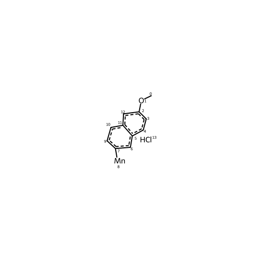 COc1ccc2c[c]([Mn])ccc2c1.Cl